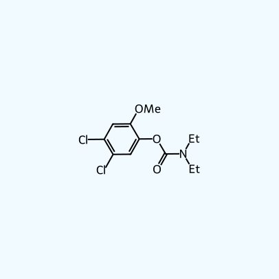 CCN(CC)C(=O)Oc1cc(Cl)c(Cl)cc1OC